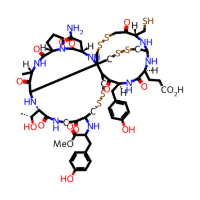 COC(=O)C(Cc1ccc(O)cc1)NC1CSSCC2C(=O)[C@H](Cc3ccc(O)cc3)NC(=O)[C@H](CCC(=O)O)NC3CSSCC(N[C@@H]([C@@H](C)O)C(=O)NCC1=O)C(=O)[C@H](C)NC(=O)[C@@H]1CCCN1C(=O)[C@H](CC(N)=O)NC2CSSCC(=O)[C@H](CS)N3